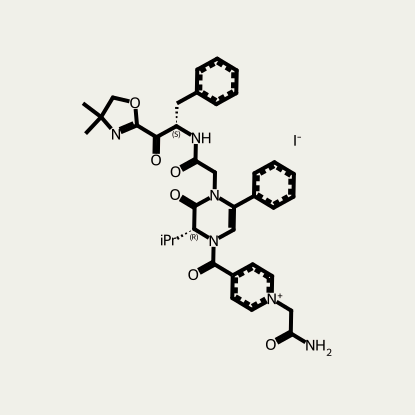 CC(C)[C@@H]1C(=O)N(CC(=O)N[C@@H](Cc2ccccc2)C(=O)C2=NC(C)(C)CO2)C(c2ccccc2)=CN1C(=O)c1cc[n+](CC(N)=O)cc1.[I-]